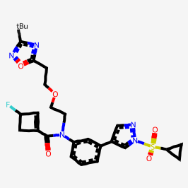 CC(C)(C)c1noc(CCOCCN(C(=O)C2=CC(F)C2)c2cccc(-c3cnn(S(=O)(=O)C4CC4)c3)c2)n1